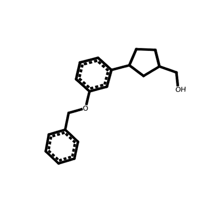 OCC1CCC(c2cccc(OCc3ccccc3)c2)C1